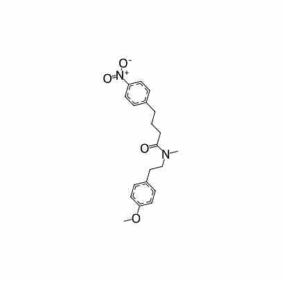 COc1ccc(CCN(C)C(=O)CCCc2ccc([N+](=O)[O-])cc2)cc1